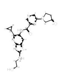 O=C1CCN(c2cncc(C(=O)Nc3cc4sc(NCCO)nc4nc3C3CC3)n2)C1